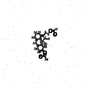 C=C(/C=C\COC(C)=O)C1(C)c2ccccc2Cc2ccc(OC(C)=O)cc21